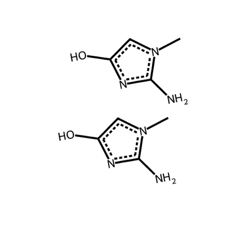 Cn1cc(O)nc1N.Cn1cc(O)nc1N